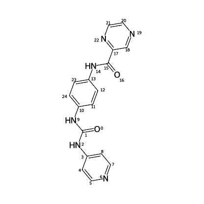 O=C(Nc1ccncc1)Nc1ccc(NC(=O)c2cnccn2)cc1